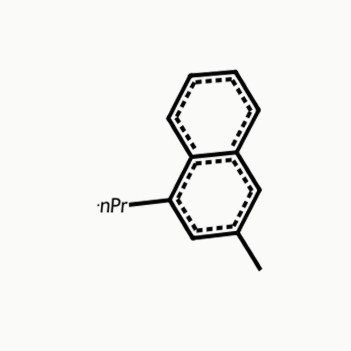 CC[CH]c1cc(C)cc2ccccc12